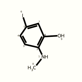 CNc1ccc(I)cc1O